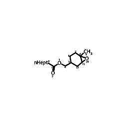 CCCCCCCC(=O)OCC1CCC2(C)OC2C1